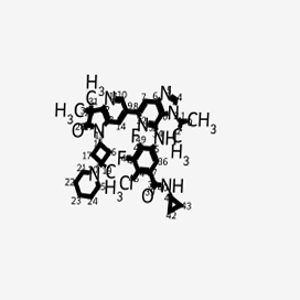 CC(C)n1cnc2cc(-c3cnc4c(c3)N([C@H]3C[C@@](C)(N5CCCCC5)C3)C(=O)C4(C)C)nc(Nc3cc(C(=O)NC4CC4)c(Cl)c(F)c3F)c21